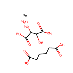 O.O=C(O)C(O)C(O)C(=O)O.O=C(O)CCCCC(=O)O.[Fe]